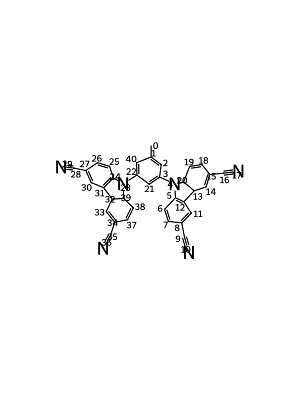 Cc1cc(N2c3ccc(C#N)cc3C3C=C(C#N)C=CC32)cc(N2c3ccc(C#N)cc3C3C=C(C#N)C=CC32)c1